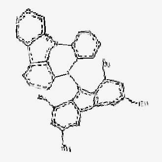 CC(C)(C)c1cc(C(C)(C)C)c2c(c1)c1cc(C(C)(C)C)cc(C(C)(C)C)c1n2B1c2ccccc2-n2c3ccncc3c3cccc1c32